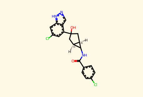 O=C(NC1[C@H]2CC(O)(c3cc(Cl)cc4[nH]ncc34)C[C@@H]12)c1ccc(Cl)cc1